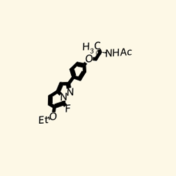 CCOc1ccc2cc(-c3ccc(OC[C@H](C)NC(C)=O)cc3)nn2c1F